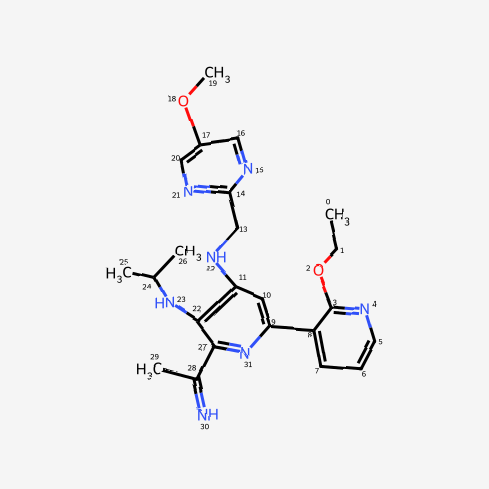 CCOc1ncccc1-c1cc(NCc2ncc(OC)cn2)c(NC(C)C)c(C(C)=N)n1